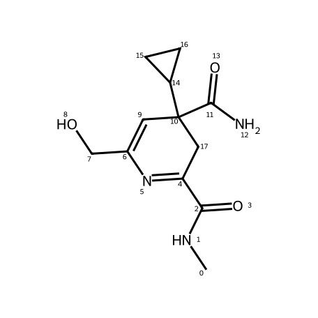 CNC(=O)C1=NC(CO)=CC(C(N)=O)(C2CC2)C1